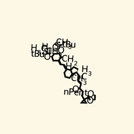 C=C1/C(=C\C=C2/CCC[C@]3(C)[C@@H]([C@H](C)/C=C/C(=O)CCC4(C5(CCCCC)OCCO5)CC4)CC[C@@H]23)C[C@@H](O[Si](C)(C)C(C)(C)C)C[C@@H]1O[Si](C)(C)C(C)(C)C